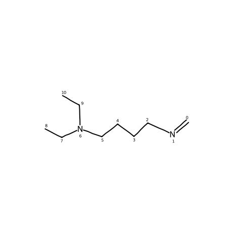 C=NCCCCN(CC)CC